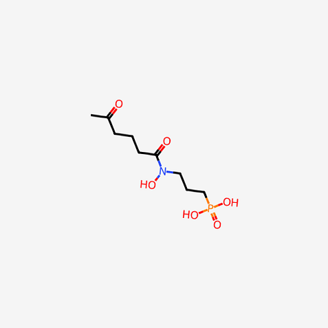 CC(=O)CCCC(=O)N(O)CCCP(=O)(O)O